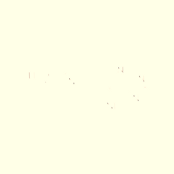 Cc1nc2nonc2c(N)c1Cc1cccc(C(=O)O)n1